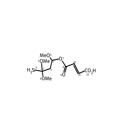 COC(CC([SiH3])(OC)OC)OC(=O)/C=C/C(=O)O